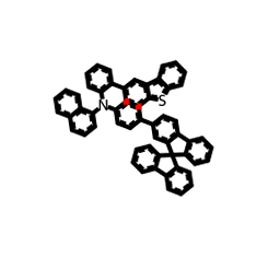 c1ccc(N(c2ccc(-c3ccc4c(c3)C3(c5ccccc5-c5ccccc53)c3ccccc3-4)cc2)c2cccc3ccccc23)c(-c2ccc3sc4ccccc4c3c2)c1